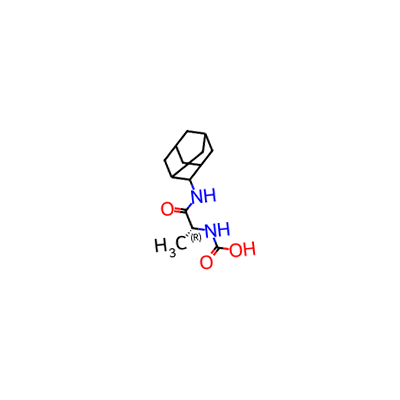 C[C@@H](NC(=O)O)C(=O)NC1C2CC3CC(C2)CC1C3